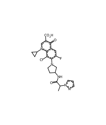 CC(C(=O)NC1CCN(c2c(F)cc3c(=O)c(C(=O)O)cn(C4CC4)c3c2Cl)C1)n1cccn1